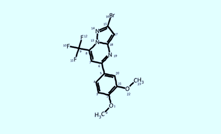 COc1ccc(-c2cc(C(F)(F)F)n3nc(Br)cc3n2)cc1OC